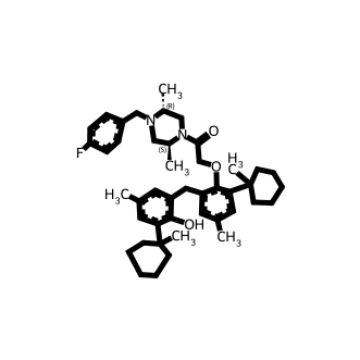 Cc1cc(Cc2cc(C)cc(C3(C)CCCCC3)c2OCC(=O)N2C[C@@H](C)N(Cc3ccc(F)cc3)C[C@@H]2C)c(O)c(C2(C)CCCCC2)c1